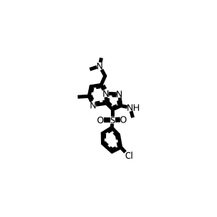 CNc1nn2c(CN(C)C)cc(C)nc2c1S(=O)(=O)c1cccc(Cl)c1